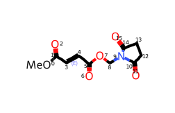 COC(=O)/C=C/C(=O)OCN1C(=O)CCC1=O